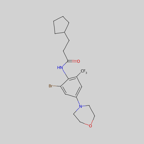 O=C(CCC1CCCC1)Nc1c(Br)cc(N2CCOCC2)cc1C(F)(F)F